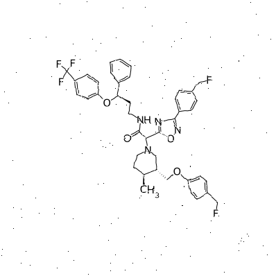 C[C@H]1CCN(C(C(=O)NCC[C@@H](Oc2ccc(C(F)(F)F)cc2)c2ccccc2)c2nc(-c3ccc(CF)cc3)no2)C[C@@H]1COc1ccc(CF)cc1